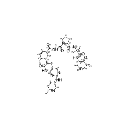 Cc1ccc(Nc2ncc3c(n2)NC(=O)N(c2cc(C(=O)NCC(=O)N4CCC[C@H]4C(=O)NC(C)(C)C(=O)N[C@@H](CC(C)C)C(=O)N(C)C)ccc2C)C3)cn1